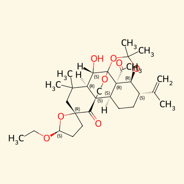 C=C(C)[C@@H]1CC[C@H]2[C@@]34COC5(OC(C)(C)O[C@H]1[C@@]25C(C)=O)[C@@H](O)[C@@H]3C(C)(C)C[C@]1(CC[C@@H](OCC)O1)C4=O